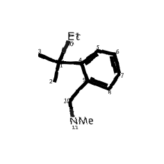 CCC(C)(C)c1ccccc1CNC